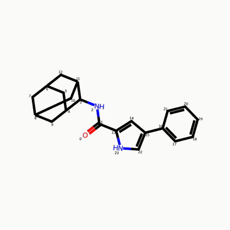 O=C(NC1C2CC3CC(C2)CC1C3)c1cc(-c2ccccc2)c[nH]1